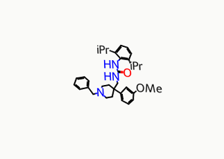 COc1cccc(C2(CNC(=O)Nc3c(C(C)C)cccc3C(C)C)CCN(Cc3ccccc3)CC2)c1